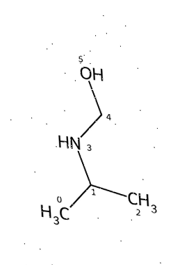 CC(C)NCO